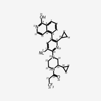 N#Cc1cc(-c2cccc3c(O)nccc23)c(C2CC2)nc1N1CCN(C(=O)CC(F)(F)F)C(C2CC2)C1